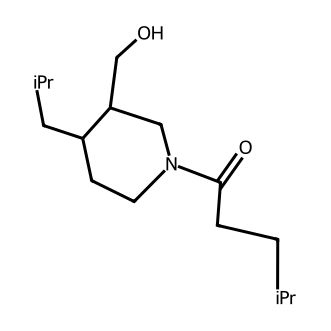 CC(C)CCC(=O)N1CCC(CC(C)C)C(CO)C1